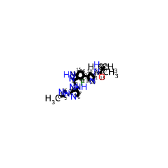 Cc1cn(-c2nccc3[nH]c(-c4n[nH]c5ccc(-c6cncc(NC(=O)C(C)(C)C)c6)c(F)c45)nc23)cn1